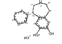 Cl.Oc1cc2c(cc1O)[C@H](c1ccccc1)CNCC2